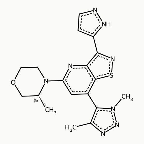 Cc1nnn(C)c1-c1cc(N2CCOC[C@H]2C)nc2c(-c3ccn[nH]3)nsc12